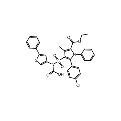 CCOC(=O)c1c(C)c(S(=O)(=O)N(C(=O)O)c2csc(-c3ccccc3)c2)c(-c2ccc(Cl)cc2)n1-c1ccccc1